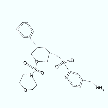 NCc1ccnc(S(=O)(=O)C[C@H]2C[C@@H](c3ccccc3)CN(S(=O)(=O)N3CCOCC3)C2)c1